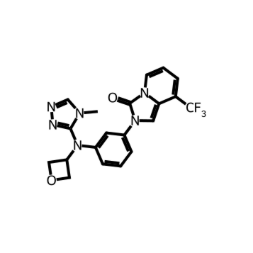 Cn1cnnc1N(c1cccc(-n2cc3c(C(F)(F)F)cccn3c2=O)c1)C1COC1